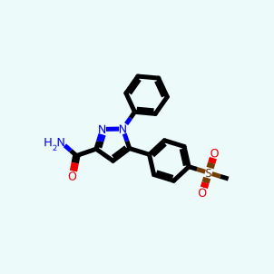 CS(=O)(=O)c1ccc(-c2cc(C(N)=O)nn2-c2ccccc2)cc1